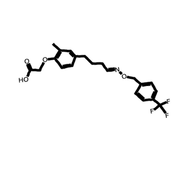 Cc1cc(CCCC=NOCc2ccc(C(F)(F)F)cc2)ccc1OCC(=O)O